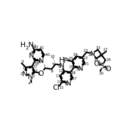 Cc1nn(C)c(OCC[C@H](C)Nc2cc(Cl)ncc2-c2ncc(CN3CC(C)(CS(C)(=O)=O)C3)cc2F)c1-c1nccc(N)n1